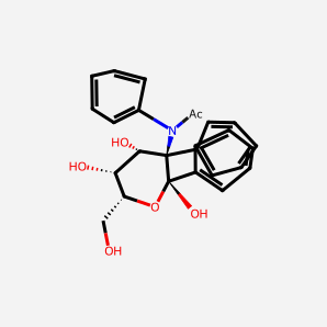 CC(=O)N(c1ccccc1)[C@]1(c2ccccc2)[C@@H](O)[C@@H](O)[C@@H](CO)O[C@@]1(O)c1ccccc1